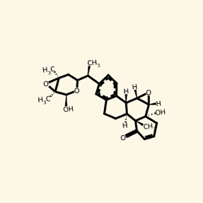 C[C@@H](c1ccc2c(c1)CC[C@H]1[C@H]2[C@@H]2O[C@@H]2[C@@]2(O)CC=CC(=O)[C@]12C)C1C[C@]2(C)O[C@]2(C)[C@H](O)O1